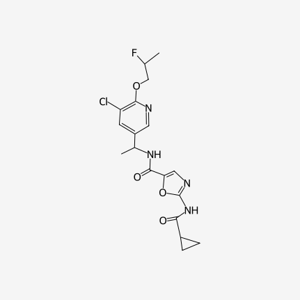 CC(F)COc1ncc(C(C)NC(=O)c2cnc(NC(=O)C3CC3)o2)cc1Cl